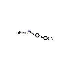 CCCCC/C=C\CCC[C@H]1CC[C@H](CCC2CCC(C#N)CC2)CC1